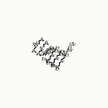 CCN(CC)CC[N-]CCN(CC)CC.CCN(CC)CC[N-]CCN(CC)CC.CCN(CC)CC[N-]CCN(CC)CC.CC[CH2][Ga+][CH2]CC.CC[CH2][Ga+][CH2]CC.CN(C)CC[N-]CCN(C)C.CN(C)CC[N-]CCN(C)C.C[CH2][Ga+][CH2]C.[CH3][Ga+][CH3].[CH3][In+][CH3]